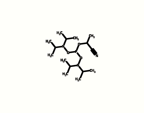 CC(C#N)OP(ON(C(C)C)C(C)C)ON(C(C)C)C(C)C